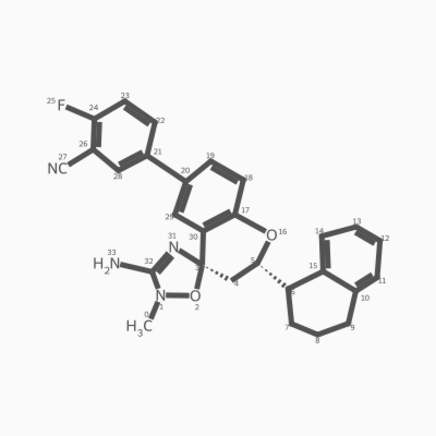 CN1O[C@@]2(C[C@@H](C3CCCc4ccccc43)Oc3ccc(-c4ccc(F)c(C#N)c4)cc32)N=C1N